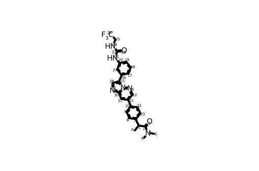 CC(C(=O)N(C)C)c1ccc(-c2cnn3c(-c4cccc(NC(=O)NCC(F)(F)F)c4)cnc3c2)cc1